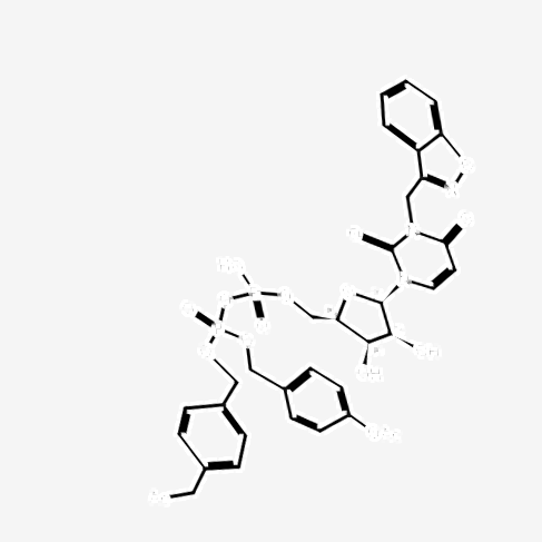 CC(=O)Cc1ccc(COP(=O)(OCc2ccc(OC(C)=O)cc2)OP(=O)(O)OC[C@H]2O[C@@H](n3ccc(=O)n(Cc4noc5ccccc45)c3=O)[C@@H](O)[C@H]2O)cc1